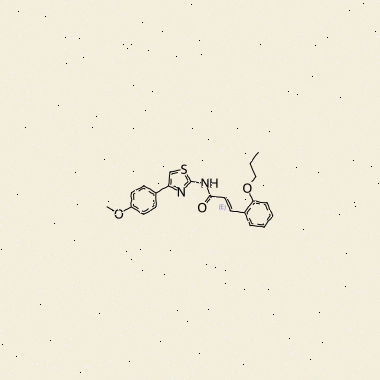 CCCOc1ccccc1/C=C/C(=O)Nc1nc(-c2ccc(OC)cc2)cs1